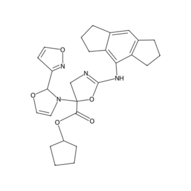 O=C(OC1CCCC1)C1(N2C=COC2c2ccon2)CN=C(Nc2c3c(cc4c2CCC4)CCC3)O1